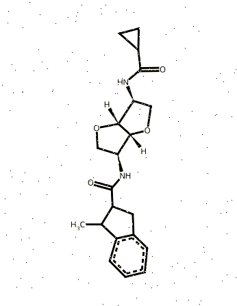 CC1c2ccccc2CC1C(=O)N[C@H]1CO[C@H]2[C@@H]1OC[C@@H]2NC(=O)C1CC1